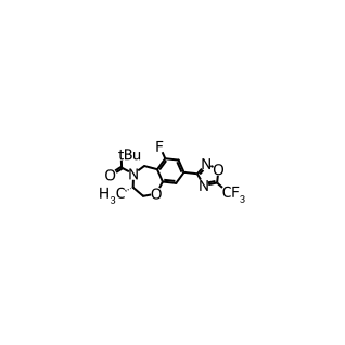 C[C@H]1COc2cc(-c3noc(C(F)(F)F)n3)cc(F)c2CN1C(=O)C(C)(C)C